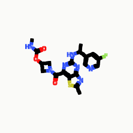 CNC(=O)OC1CN(C(=O)c2nc(NC(C)c3cncc(F)c3)nc3nc(C)sc23)C1